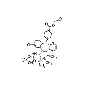 C=CN(C)/C(=C\N)C(NC(=O)OC1(C)CC1)C1=Cc2cccnc2C(N2CCN(C(=O)OCC3CC3)CC2)c2ccc(Cl)cc21